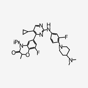 CC1Oc2c(F)cc(-c3nc(Nc4ccc(N5CCC(N(C)C)CC5)c(F)c4)ncc3C3CC3)cc2N(C(C)C)C1=O